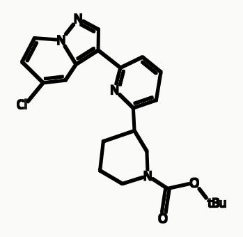 CC(C)(C)OC(=O)N1CCCC(c2cccc(-c3cnn4ccc(Cl)cc34)n2)C1